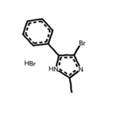 Br.Cc1nc(Br)c(-c2ccccc2)[nH]1